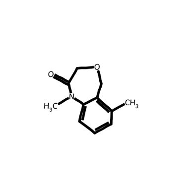 Cc1cccc2c1COCC(=O)N2C